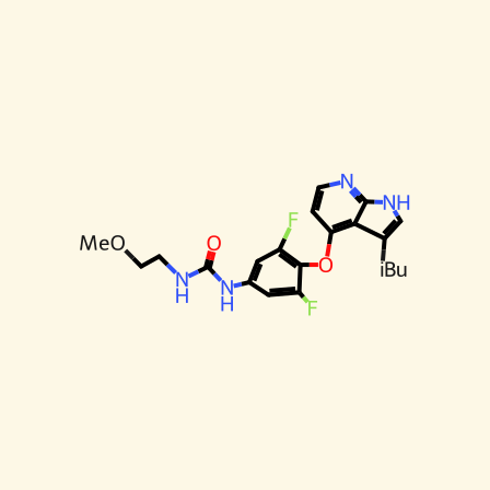 CCC(C)c1c[nH]c2nccc(Oc3c(F)cc(NC(=O)NCCOC)cc3F)c12